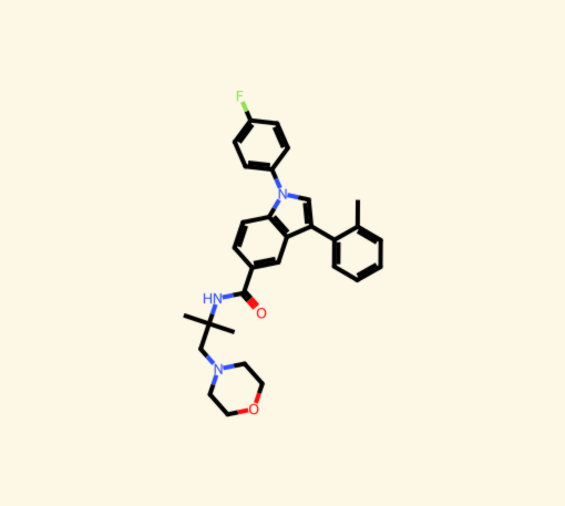 Cc1ccccc1-c1cn(-c2ccc(F)cc2)c2ccc(C(=O)NC(C)(C)CN3CCOCC3)cc12